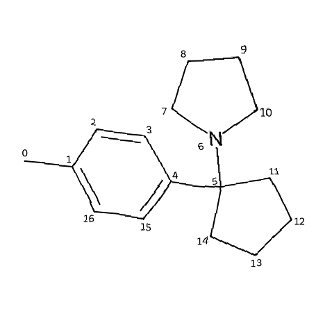 Cc1ccc(C2(N3CCCC3)CCCC2)cc1